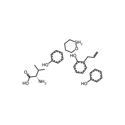 C1CC[SiH2]OC1.C=CCc1ccccc1O.CC(C)[C@H](N)C(=O)O.Oc1ccccc1.Oc1ccccc1